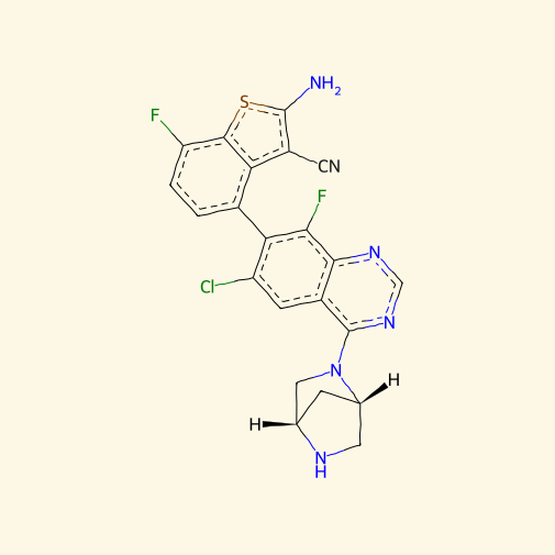 N#Cc1c(N)sc2c(F)ccc(-c3c(Cl)cc4c(N5C[C@@H]6C[C@H]5CN6)ncnc4c3F)c12